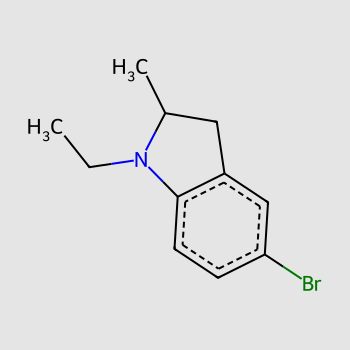 CCN1c2ccc(Br)cc2CC1C